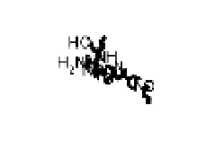 CCCC(=O)N1CCC(c2cnc(Cn3ncc4nc(N)nc(NC(CCC)CCO)c43)c(OC)c2)CC1